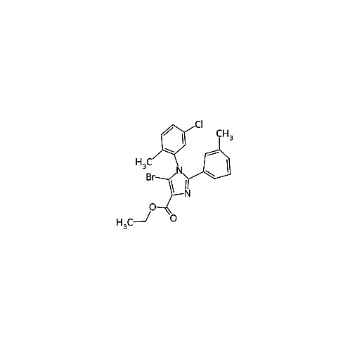 CCOC(=O)c1nc(-c2cccc(C)c2)n(-c2cc(Cl)ccc2C)c1Br